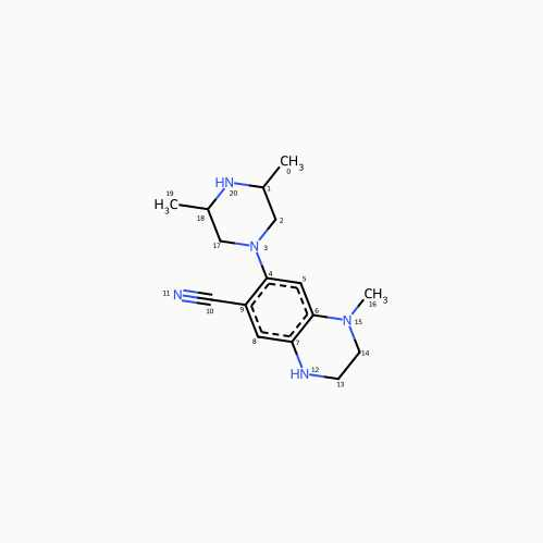 CC1CN(c2cc3c(cc2C#N)NCCN3C)CC(C)N1